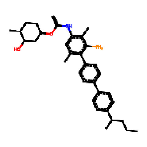 C=C(Nc1cc(C)c(-c2ccc(-c3ccc(C(C)CCC)cc3)cc2)c(P)c1C)OC1CC[C@H](C)C(O)C1